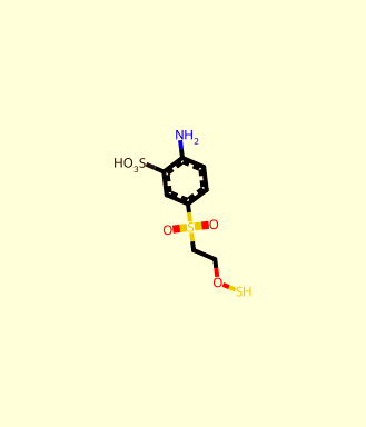 Nc1ccc(S(=O)(=O)CCOS)cc1S(=O)(=O)O